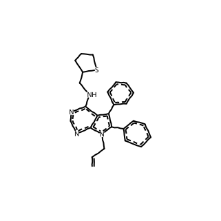 C=CCn1c(-c2ccccc2)c(-c2ccccc2)c2c(NCC3CCCS3)ncnc21